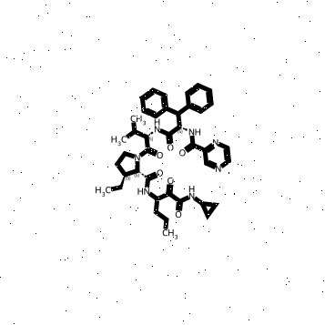 CCCC(NC(=O)[C@@H]1[C@@H](CC)CCN1C(=O)[C@@H](NC(=O)[C@@H](NC(=O)c1cnccn1)C(c1ccccc1)c1ccccc1)C(C)C)C(=O)C(=O)NC1CC1